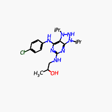 CC(O)CNc1nc(Nc2ccc(Cl)cc2)c2c(n1)N(C(C)C)NN2C(C)C